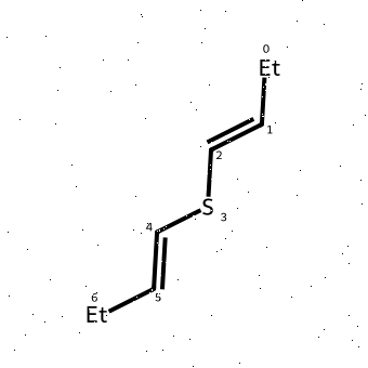 CCC=CSC=CCC